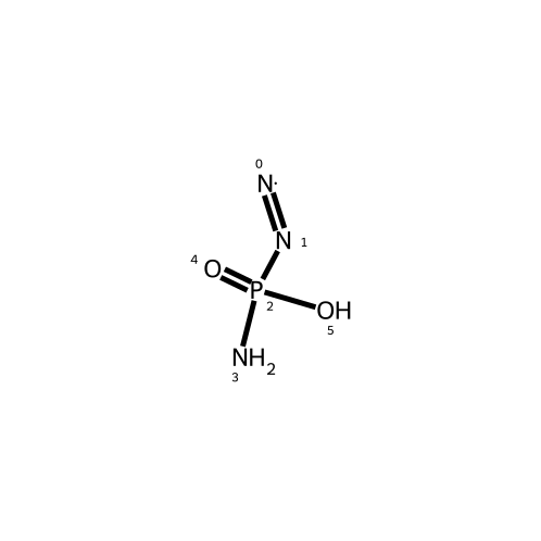 [N]=NP(N)(=O)O